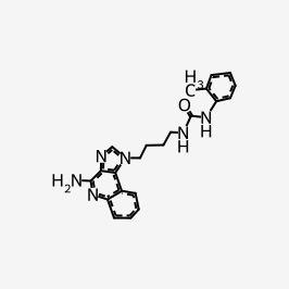 Cc1ccccc1NC(=O)NCCCCn1cnc2c(N)nc3ccccc3c21